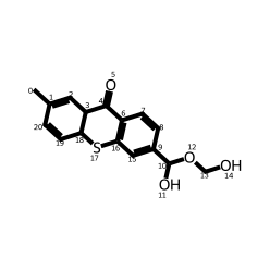 CC1=CC2C(=O)c3ccc(C(O)OCO)cc3SC2C=C1